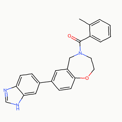 Cc1ccccc1C(=O)N1CCOc2ccc(-c3ccc4nc[nH]c4c3)cc2C1